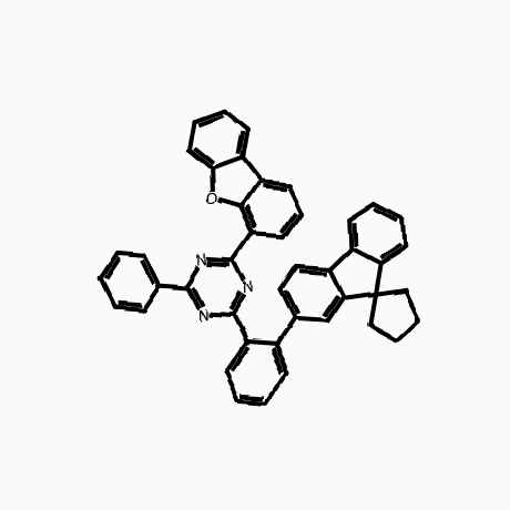 c1ccc(-c2nc(-c3ccccc3-c3ccc4c(c3)C3(CCCC3)c3ccccc3-4)nc(-c3cccc4c3oc3ccccc34)n2)cc1